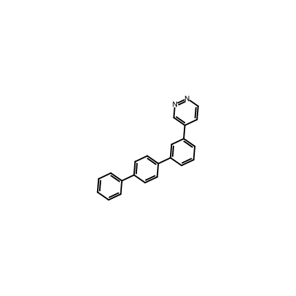 c1ccc(-c2ccc(-c3cccc(-c4ccnnc4)c3)cc2)cc1